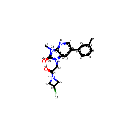 Cc1cccc(-c2cnc3c(c2)n(CC(=O)N2CC(F)C2)c(=O)n3C)c1